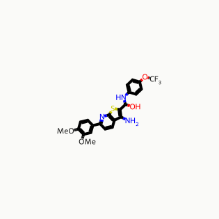 COc1ccc(-c2ccc3c(N)c(C(O)Nc4ccc(OC(F)(F)F)cc4)sc3n2)cc1OC